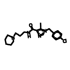 Cc1c(C(=O)NCCCN2CCCCC2)ncn1Cc1ccc(Cl)cc1